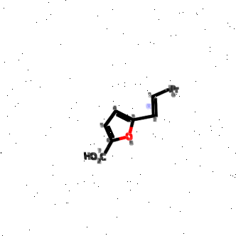 CC(C)/C=C/c1ccc(C(=O)O)o1